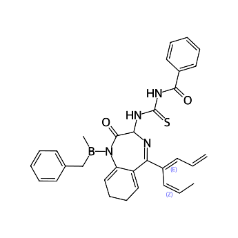 C=C/C=C(\C=C/C)C1=NC(NC(=S)NC(=O)c2ccccc2)C(=O)N(B(C)Cc2ccccc2)C2=CCCC=C21